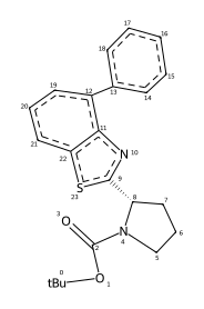 CC(C)(C)OC(=O)N1CCC[C@H]1c1nc2c(-c3ccccc3)cccc2s1